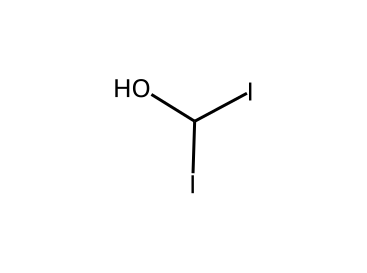 OC(I)I